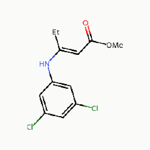 CCC(=CC(=O)OC)Nc1cc(Cl)cc(Cl)c1